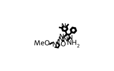 COCCN1CCC[C@@H]1Cn1nc2c(-c3cc(C)nc(C)c3)c(-c3ccccc3)nc(N)n2c1=O